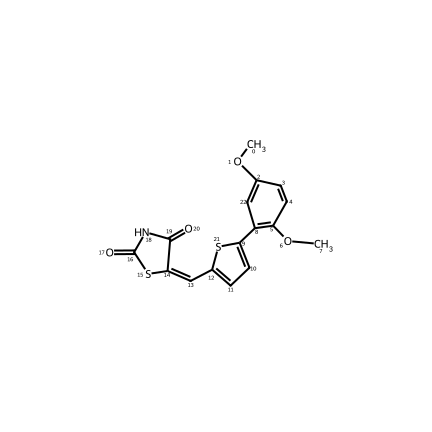 COc1ccc(OC)c(-c2ccc(C=C3SC(=O)NC3=O)s2)c1